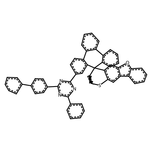 c1ccc(-c2ccc(-c3nc(-c4ccccc4)nc(-c4ccc5c(c4)C4(c6ccccc6Sc6cc7c(cc64)oc4ccccc47)c4ccccc4-c4ccccc4-5)n3)cc2)cc1